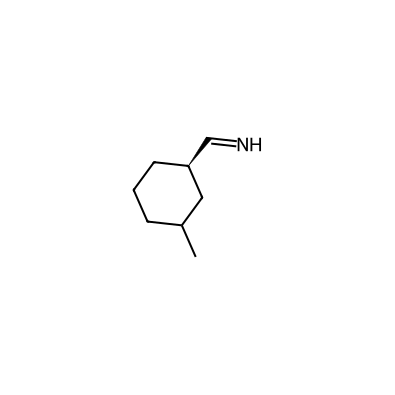 CC1CCC[C@@H](C=N)C1